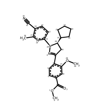 COC(=O)c1ccc(C2=NN(c3ccc(C#N)c(C)n3)[C@@H](C3CCCC3)C2)c(OC)c1